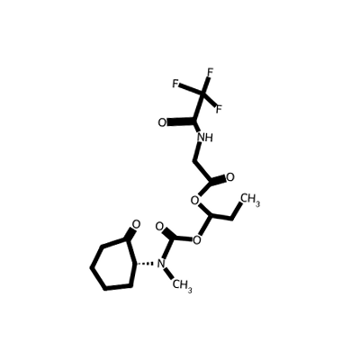 CCC(OC(=O)CNC(=O)C(F)(F)F)OC(=O)N(C)[C@@H]1CCCCC1=O